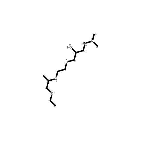 CCOCC(C)OCCOCC(O)CNN(C)C